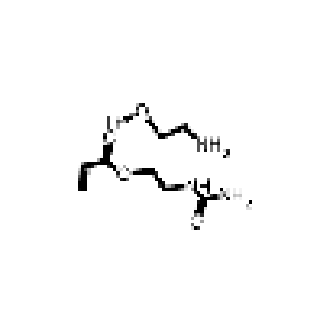 C=CC(=O)OCCNC(N)=O.CCOCCN